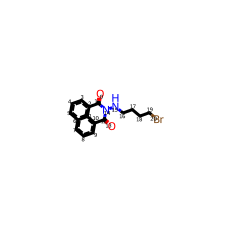 O=C1c2cccc3cccc(c23)C(=O)N1NCCCCBr